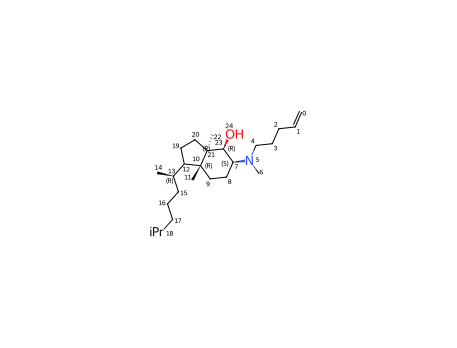 C=CCCCN(C)[C@H]1CC[C@]2(C)C([C@H](C)CCCC(C)C)CC[C@@]2(C)[C@H]1O